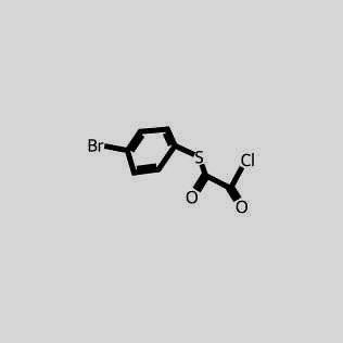 O=C(Cl)C(=O)Sc1ccc(Br)cc1